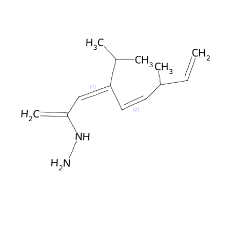 C=CC(C)/C=C\C(=C/C(=C)NN)C(C)C